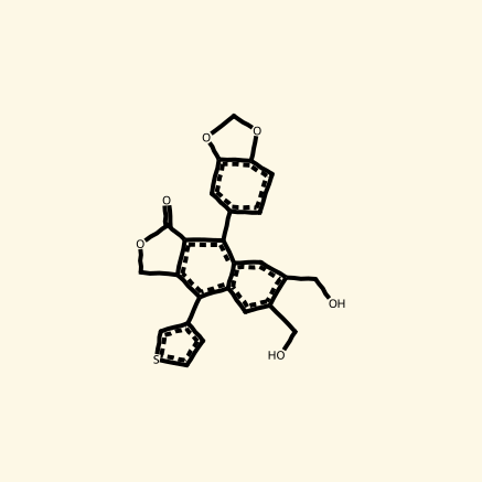 O=C1OCc2c1c(-c1ccc3c(c1)OCO3)c1cc(CO)c(CO)cc1c2-c1ccsc1